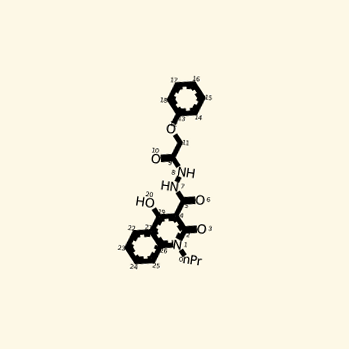 CCCn1c(=O)c(C(=O)NNC(=O)COc2ccccc2)c(O)c2ccccc21